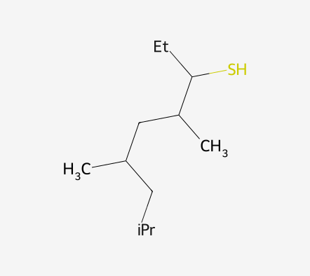 CCC(S)C(C)CC(C)CC(C)C